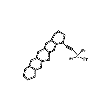 CC(C)[Si](C#Cc1cccc2cc3cc4cc5ccccc5cc4cc3cc12)(C(C)C)C(C)C